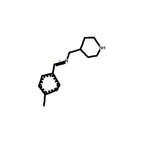 Cc1ccc(/C=N/CC2CCNCC2)cc1